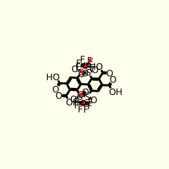 O=C(O)c1cc(S(=O)(=O)C(F)(F)F)c(-c2c(S(=O)(=O)C(F)(F)F)cc(C(=O)O)c(C(=O)O)c2S(=O)(=O)C(F)(F)F)c(S(=O)(=O)C(F)(F)F)c1C(=O)O